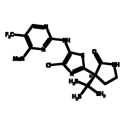 BC(B)(B)[C@]1(c2nc(Cl)c(Nc3ncc(C(F)(F)F)c(NC)n3)s2)CCNC1=O